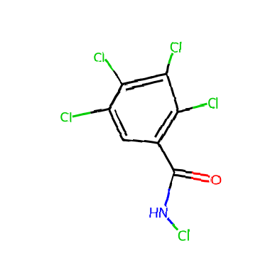 O=C(NCl)c1cc(Cl)c(Cl)c(Cl)c1Cl